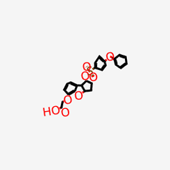 O=C(O)COc1cccc2c1OC1CCC(OS(=O)(=O)c3ccc(Oc4ccccc4)cc3)C21